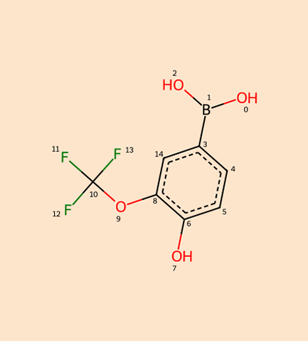 OB(O)c1ccc(O)c(OC(F)(F)F)c1